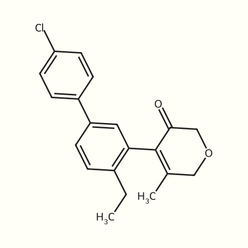 CCc1ccc(-c2ccc(Cl)cc2)cc1C1=C(C)COCC1=O